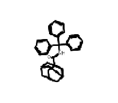 O=C(NC(c1ccccc1)(c1ccccc1)c1ccccc1)C12CC3CC(CC(C3)C1)C2